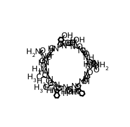 CCCC[C@H]1C(=O)N(C)[C@@H](CCCC)C(=O)N[C@@H](C)C(=O)N[C@H](C(=O)NCC(N)=O)CSCC(=O)N[C@@H](Cc2ccc(O)cc2)C(=O)N(C)[C@@H](C)C(=O)N[C@@H](CC(=O)O)C(=O)N2CCC[C@H]2C(=O)N[C@@H](Cc2cnc[nH]2)C(=O)N[C@@H](CCC(N)=O)C(=O)N2CCC[C@H]2C(=O)N[C@@H](Cc2c[nH]c3ccccc23)C(=O)N[C@@H](CO)C(=O)N[C@@H](Cc2c[nH]c3ccccc23)C(=O)N1C